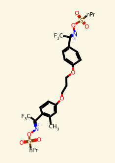 CCCS(=O)(=O)O/N=C(/c1ccc(OCCCOc2ccc(/C(=N/OS(=O)(=O)CCC)C(F)(F)F)c(C)c2)cc1)C(F)(F)F